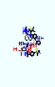 Cc1ncsc1-c1ccc(C(C)NC(=O)[C@@H]2C[C@@H](O)CN2C(=O)C(NC(=O)COc2cccc(Nc3ccc(C4=N[C@@H](CC(=O)O)c5nnc(C)n5-c5sc(C)c(C)c54)cc3)c2)C(C)(C)C)cc1